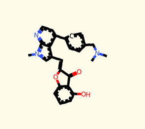 CN(C)Cc1ccc(-c2ccnc3c2c(C=C2Oc4cccc(O)c4C2=O)cn3C)cc1